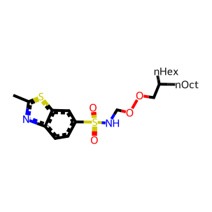 CCCCCCCCC(CCCCCC)COOCNS(=O)(=O)c1ccc2nc(C)sc2c1